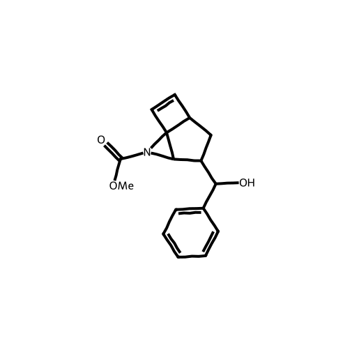 COC(=O)N1C2C(C(O)c3ccccc3)CC3C=CC321